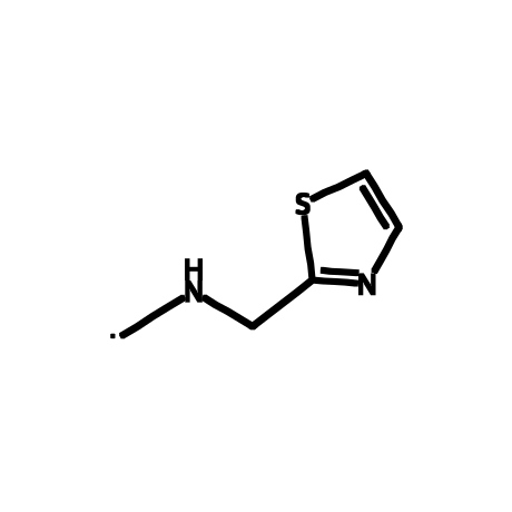 [CH2]NCc1nccs1